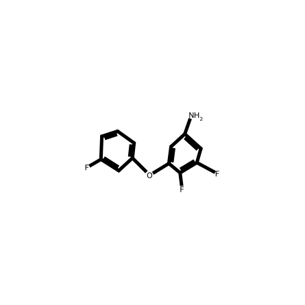 Nc1cc(F)c(F)c(Oc2cccc(F)c2)c1